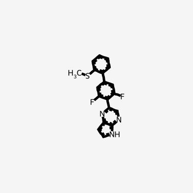 CSc1ccccc1-c1cc(F)c(-c2cnc3[nH]ccc3n2)c(F)c1